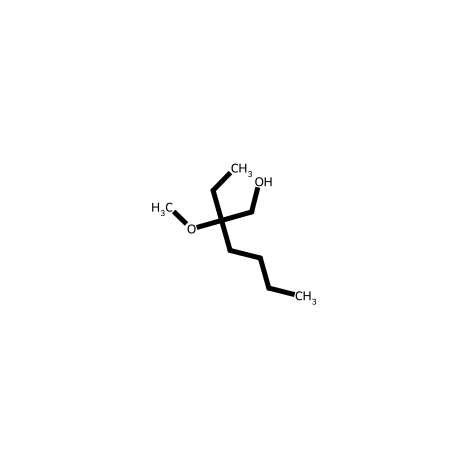 CCCCC(CC)(CO)OC